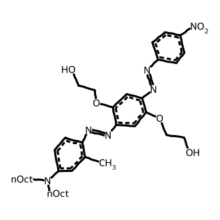 CCCCCCCCN(CCCCCCCC)c1ccc(N=Nc2cc(OCCO)c(N=Nc3ccc([N+](=O)[O-])cc3)cc2OCCO)c(C)c1